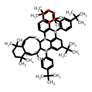 C[C@H]1/C=C2\C(=C/CSC3B4C5=C(CC(C(C)(C)C)C=C5N(c5ccc(C(C)(C)C)cc5)C31)N(c1ccc(C(C)(C)C)cc1-c1ccccc1)c1c4ccc3c1C(C)(C)CCC3(C)C)C(C)(C)CCC2(C)C